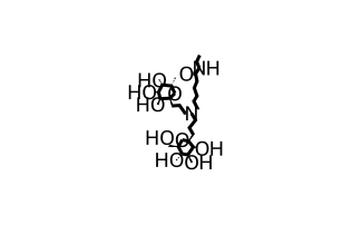 CCNC(=O)CCCCCN(CCC[C@@H]1O[C@H](CO)[C@@H](O)[C@H](O)[C@H]1O)CCC[C@@H]1O[C@@H](C)[C@@H](O)[C@@H](O)[C@@H]1O